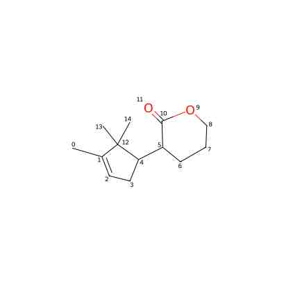 CC1=CCC(C2CCCOC2=O)C1(C)C